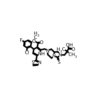 COC(=O)C1=C(CN2CCN3C(=S)N(CC(C)(C)C(=O)O)CC3C2)NC(c2nccs2)=CC1c1ccc(F)cc1Cl